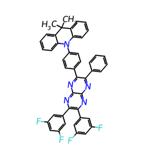 CC1(C)c2ccccc2N(c2ccc(-c3nc4nc(-c5cc(F)cc(F)c5)c(-c5cc(F)cc(F)c5)nc4nc3-c3ccccc3)cc2)c2ccccc21